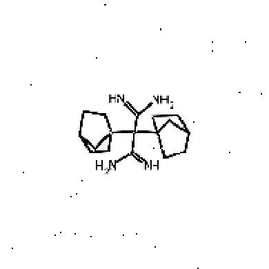 N=C(N)C(C(=N)N)(C12CCC(CC1)C2)C12CCC(CC1)C2